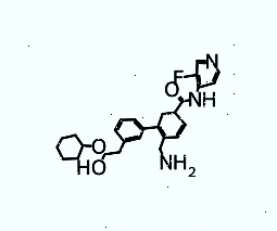 NCC1=C(c2cccc(CC(O)OC3CCCCC3)c2)CC(C(=O)Nc2ccncc2F)C=C1